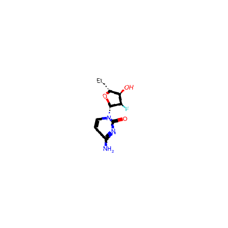 CC[C@H]1O[C@@H](n2ccc(N)nc2=O)[C@H](F)[C@@H]1O